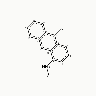 CNc1cccc2c(C)c3ccccc3cc12